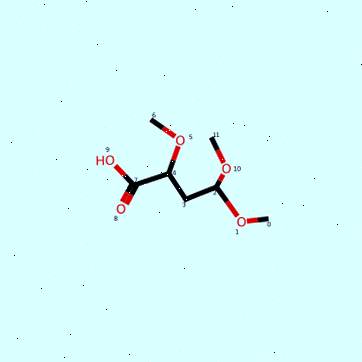 COC(CC(OC)C(=O)O)OC